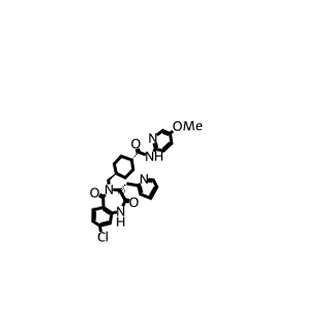 COc1ccc(NC(=O)[C@H]2CC[C@H](CN3C(=O)c4ccc(Cl)cc4NC(=O)[C@H]3Cc3ccccn3)CC2)nc1